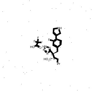 CC(C)C[C@H](C(=O)O)[C@H](Cc1ccc(C2=CCNC2)c(F)c1)c1nn[nH]n1.O=C(O)C(F)(F)F